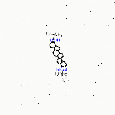 CC(C)c1nc2c([nH]1)-c1ccc3c(c1CC2)CCc1c-3ccc2c3c(ccc12)-c1[nH]c(C(C)(C)C)nc1CC3